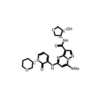 CNc1cc(Nc2cccn([C@H]3CCCOC3)c2=O)nc2c(C(=O)N[C@@H]3COC[C@@H]3O)cnn12